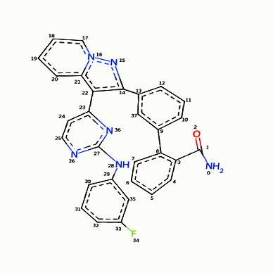 NC(=O)c1ccccc1-c1cccc(-c2nn3ccccc3c2-c2ccnc(Nc3cccc(F)c3)n2)c1